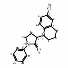 O=C1C(N2CCCc3cc(Cl)ccc32)CCN1c1ccccc1